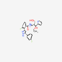 CCOC(c1ccccn1)C(/C=N/C(=O)c1cccc(F)c1-c1cc(-c2ccc(F)cc2)[nH]n1)CO